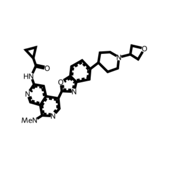 CNc1ncc(-c2nc3cc(C4CCN(C5COC5)CC4)ccc3o2)c2cc(NC(=O)C3CC3)ncc12